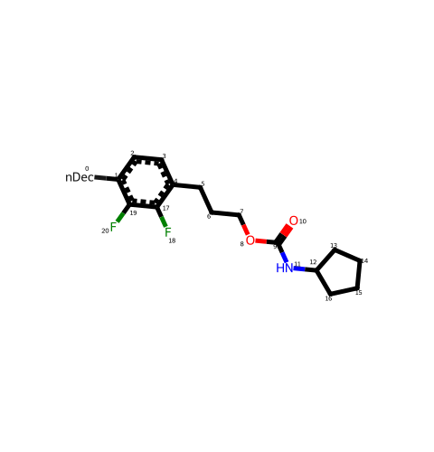 CCCCCCCCCCc1ccc(CCCOC(=O)NC2CCCC2)c(F)c1F